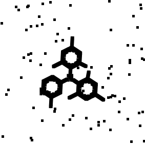 Cc1cc(C)c(N(c2ccnc(C)c2)c2c(C)cc(C)cc2C)c(C)c1